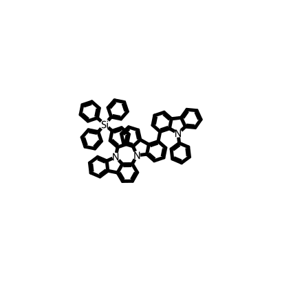 c1ccc(-n2c3ccccc3c3cccc(-c4cccc5c4c4ccccc4n5-c4cccc5c6ccccc6n(-c6cccc([Si](c7ccccc7)(c7ccccc7)c7ccccc7)c6)c45)c32)cc1